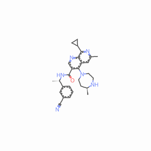 Cc1cc2c(N3CCN[C@@H](C)CC3)c(C(=O)N[C@@H](C)c3cccc(C#N)c3)cnc2c(C2CC2)n1